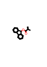 C=C(C)C(=O)OC1c2ccccc2-c2ccccc21